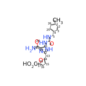 Cc1ccc(CNC(=O)Nc2[nH]c(Cc3ccc(C(=O)O)o3)nc2C(N)=O)cc1